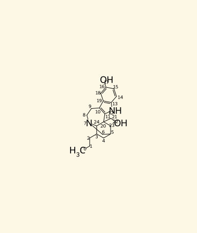 CCCC1CC2CN3CCc4c([nH]c5ccc(O)cc45)C(CO)(C2)C13